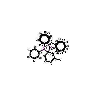 CC1=CC=CC(P(c2ccccc2)c2ccccc2)(P(c2ccccc2)c2ccccc2)[C@@H]1c1ccccc1C